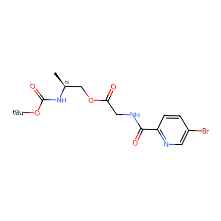 C[C@@H](COC(=O)CNC(=O)c1ccc(Br)cn1)NC(=O)OC(C)(C)C